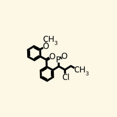 CCC(Cl)C(P=O)c1ccccc1C(=O)c1ccccc1OC